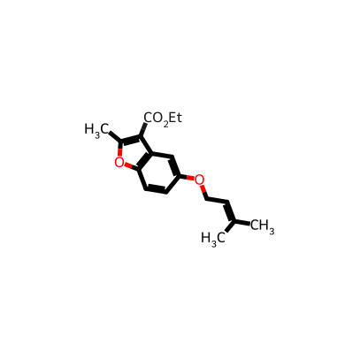 CCOC(=O)c1c(C)oc2ccc(OCC=C(C)C)cc12